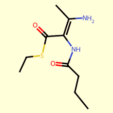 CCCC(=O)NC(C(=O)SCC)=C(C)N